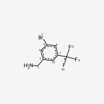 NCc1cc(Br)cc(C(F)(F)F)c1